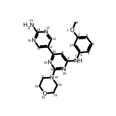 COc1cccc(Nc2cc(-c3cnc(N)nc3)nc(N3CCOCC3)n2)c1